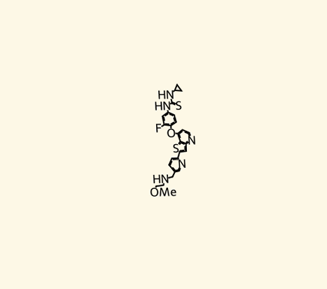 COCCNCc1ccc(-c2cc3nccc(Oc4ccc(NC(=S)NC5CC5)cc4F)c3s2)nc1